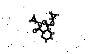 O=C(OC1CC1)C1CCCCC1C(=O)OC1CC1